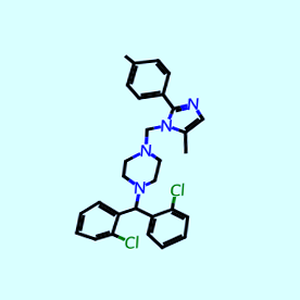 Cc1ccc(-c2ncc(C)n2CN2CCN(C(c3ccccc3Cl)c3ccccc3Cl)CC2)cc1